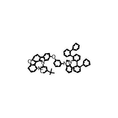 CC(C)(C)c1ccnc(-n2c3cc(Oc4cccc(-n5c[n+](-c6c(-c7ccccc7-c7ccccc7)cccc6-c6ccccc6-c6ccccc6)c6ccccc65)c4)ccc3c3ccc4oc5ccccc5c4c32)c1